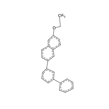 CCOc1ccc2cc(-c3cccc(-c4ccccc4)c3)ccc2c1